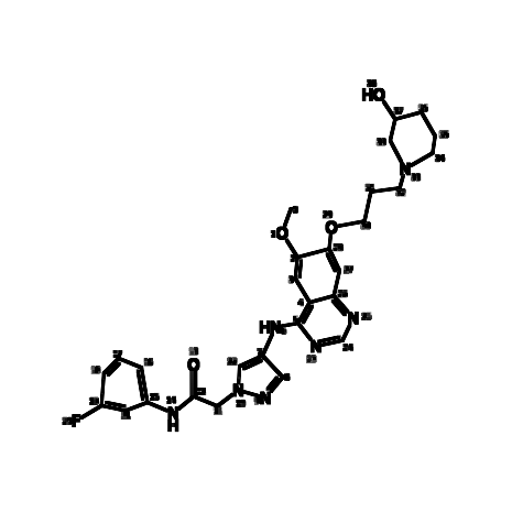 COc1cc2c(Nc3cnn(CC(=O)Nc4cccc(F)c4)c3)ncnc2cc1OCCCN1CCCC(O)C1